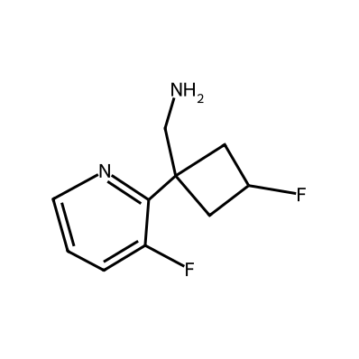 NCC1(c2ncccc2F)CC(F)C1